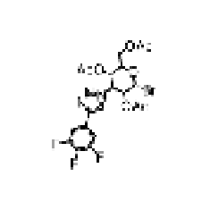 CC(=O)OCC1O[C@H](Br)C(OC(C)=O)C(n2cc(-c3cc(F)c(F)c(F)c3)nn2)[C@H]1OC(C)=O